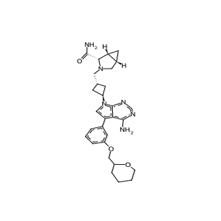 NC(=O)[C@@H]1[C@@H]2C[C@@H]2CN1C[C@H]1C[C@H](n2cc(-c3cccc(OCC4CCCCO4)c3)c3c(N)ncnc32)C1